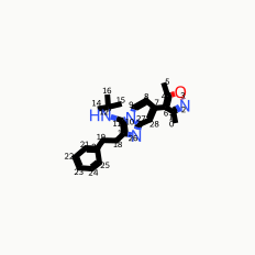 Cc1noc(C)c1-c1ccn2c(NC(C)(C)C)c(CCc3ccccc3)nc2c1